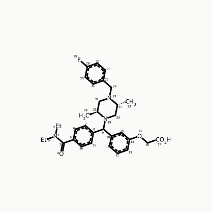 CCN(CC)C(=O)c1ccc(C(c2cccc(OCC(=O)O)c2)N2C[C@@H](C)N(Cc3ccc(F)cc3)C[C@@H]2C)cc1